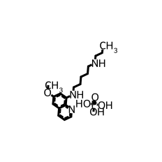 CCCNCCCCCNc1cc(OC)cc2cccnc12.O=P(O)(O)O